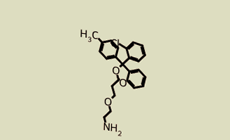 Cc1ccc(C(OC(=O)CCOCCN)(c2ccccc2)c2ccccc2Cl)cc1